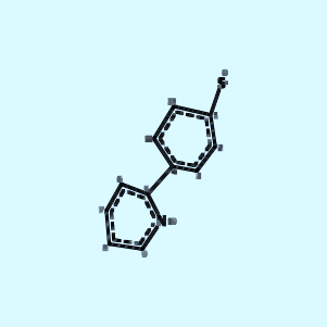 [S]c1ccc(-c2ccccn2)cc1